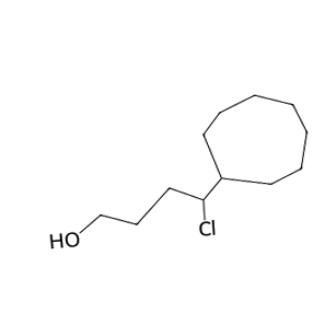 OCCCC(Cl)C1CCCCCCC1